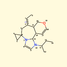 C/C=C1/CC2(CC2)N2C=CN(C(C)CC)C2C2C=COCC12